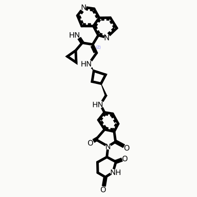 N=C(/C(=C\N[C@H]1C[C@H](CNc2ccc3c(c2)C(=O)N(C2CCC(=O)NC2=O)C3=O)C1)c1nccc2cnccc12)C1CC1